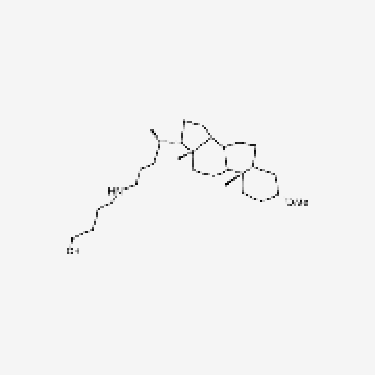 CO[C@@H]1CC[C@@]2(C)C(CCC3C2CC[C@@]2(C)C3CCC2[C@H](C)CCCNCCCCO)C1